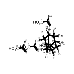 C=C(F)C(=O)O.C=C(F)C(=O)O.C=C(F)C(=O)O.OC12C(F)(F)C3(O)C(F)(F)C(O)(C1(F)F)C(F)(F)C(F)(C2(F)F)C3(F)F